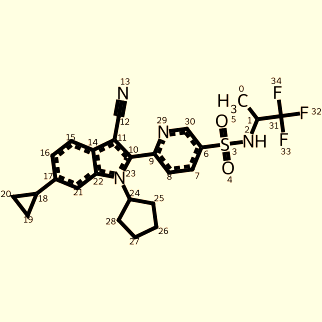 CC(NS(=O)(=O)c1ccc(-c2c(C#N)c3ccc(C4CC4)cc3n2C2CCCC2)nc1)C(F)(F)F